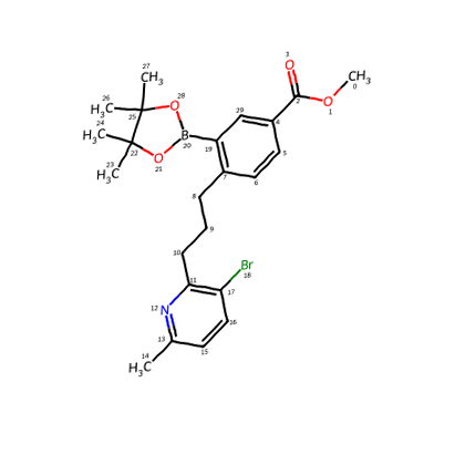 COC(=O)c1ccc(CCCc2nc(C)ccc2Br)c(B2OC(C)(C)C(C)(C)O2)c1